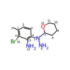 Cc1ccc(N(N)C2CCCCO2)c(N)c1Br